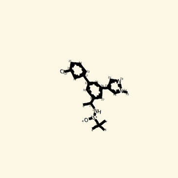 CC(N[S+]([O-])C(C)(C)C)c1cc(-c2cccc(Cl)c2)cc(-c2cnn(C)c2)c1